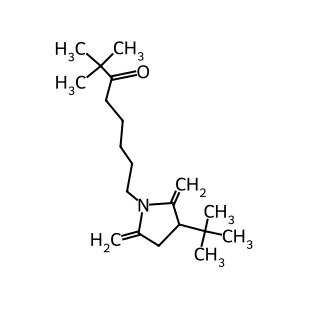 C=C1CC(C(C)(C)C)C(=C)N1CCCCCC(=O)C(C)(C)C